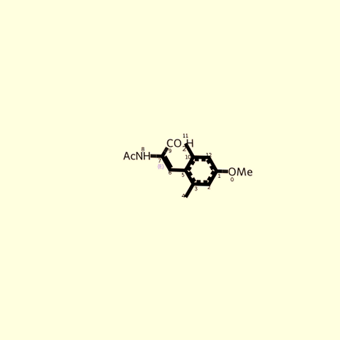 COc1cc(C)c(/C=C(/NC(C)=O)C(=O)O)c(C)c1